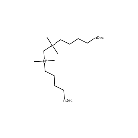 CCCCCCCCCCCCCC[N+](C)(C)C[N+](C)(C)CCCCCCCCCCCCCC